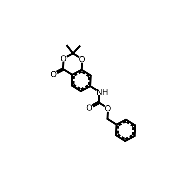 CC1(C)OC(=O)c2ccc(NC(=O)OCc3ccccc3)cc2O1